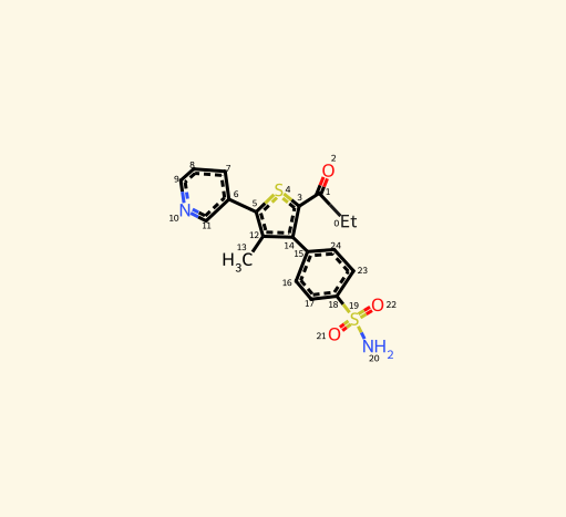 CCC(=O)c1sc(-c2cccnc2)c(C)c1-c1ccc(S(N)(=O)=O)cc1